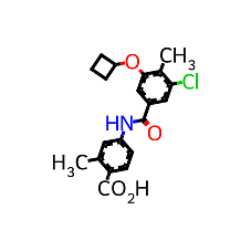 Cc1cc(NC(=O)c2cc(Cl)c(C)c(OC3CCC3)c2)ccc1C(=O)O